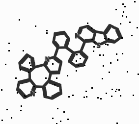 c1ccc(-c2ccccc2-c2nccc3c2sc2ccccc23)c(-c2ccc3c(n2)-c2ccccc2-c2cccnc2-c2ccccc2-3)c1